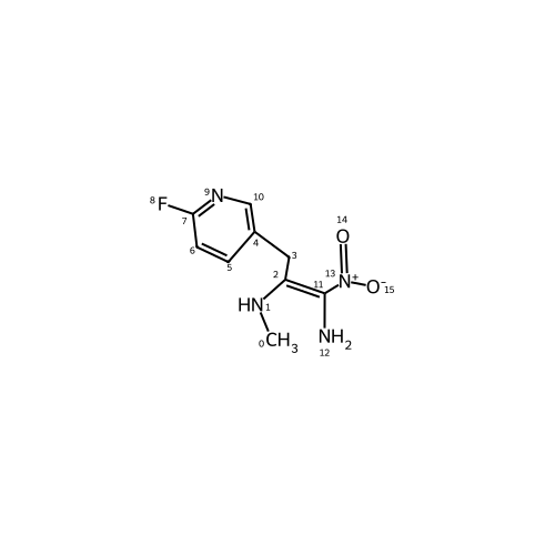 CNC(Cc1ccc(F)nc1)=C(N)[N+](=O)[O-]